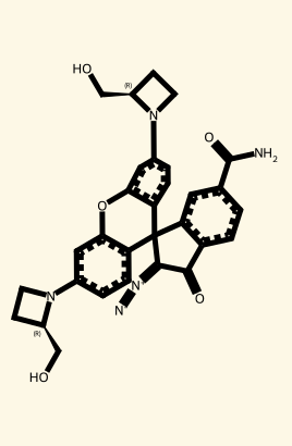 [N-]=[N+]=C1C(=O)c2ccc(C(N)=O)cc2C12c1ccc(N3CC[C@@H]3CO)cc1Oc1cc(N3CC[C@@H]3CO)ccc12